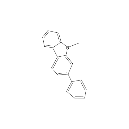 Cn1c2ccccc2c2ccc(-c3ccccc3)cc21